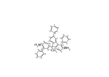 CC(c1ccc(-c2ccccc2)cc1)(c1ccc(N)c(-c2ccccc2)c1)c1ccc(N)c(-c2ccccc2)c1